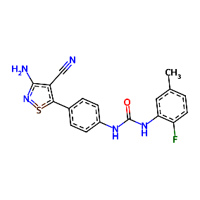 Cc1ccc(F)c(NC(=O)Nc2ccc(-c3snc(N)c3C#N)cc2)c1